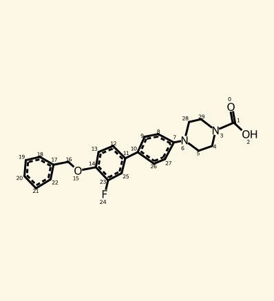 O=C(O)N1CCN(c2ccc(-c3ccc(OCc4ccccc4)c(F)c3)cc2)CC1